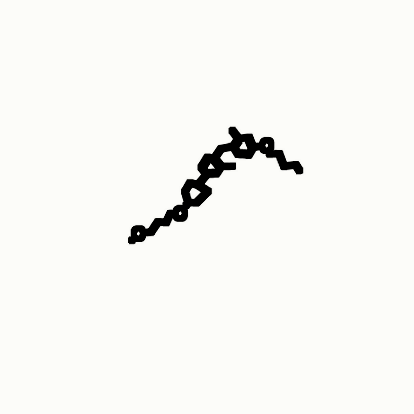 CCCCCOc1ccc(Cc2ccc(C3CCC(OCCCCOC)CC3)cc2C)c(C)c1